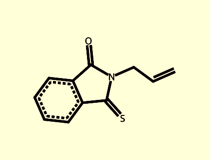 C=CCN1C(=O)c2ccccc2C1=S